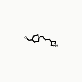 [O]CC1CCN(CCCC2CNC2)CC1